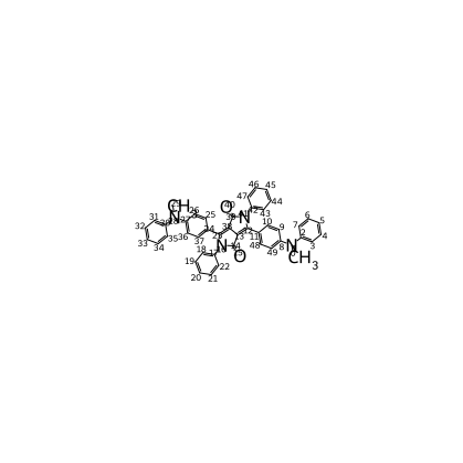 CN(c1ccccc1)c1ccc(C2=C3C(=O)N(c4ccccc4)C(c4ccc(N(C)c5ccccc5)cc4)=C3C(=O)N2c2ccccc2)cc1